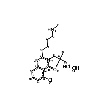 CNCCCCc1nc2cccc(Cl)c2c(=O)n1CC(C)(C)C.Cl.Cl